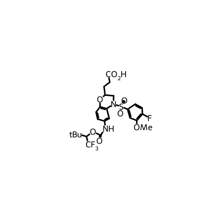 COc1cc(S(=O)(=O)N2CC(CCC(=O)O)Oc3ccc(NC(=O)OC(C(C)(C)C)C(F)(F)F)cc32)ccc1F